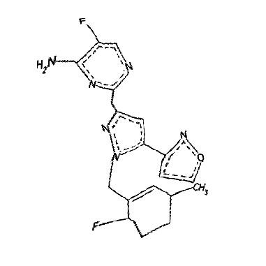 CC1C=C(Cn2nc(-c3ncc(F)c(N)n3)cc2-c2ccon2)C(F)CC1